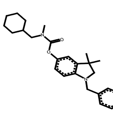 CN(CC1CCCCC1)C(=O)Oc1ccc2c(c1)C(C)(C)CN2Cc1ccccc1